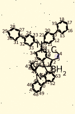 BC1=C(/C=C\C)c2cc(N(c3ccc(-c4ccccc4)cc3)c3ccc(-c4ccccc4)cc3)ccc2C12c1ccccc1-n1c3ccccc3c3cccc2c31